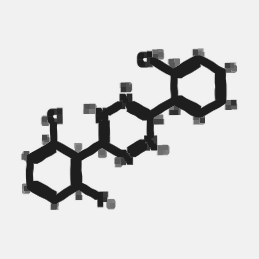 Fc1cccc(Cl)c1-c1nnc(-c2ccccc2Cl)nn1